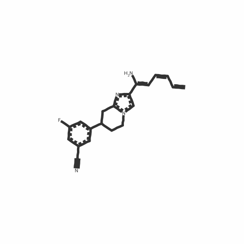 C=C/C=C\C=C(/N)c1cn2c(n1)CC(c1cc(F)cc(C#N)c1)CC2